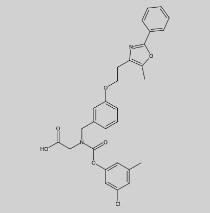 Cc1cc(Cl)cc(OC(=O)N(CC(=O)O)Cc2cccc(OCCc3nc(-c4ccccc4)oc3C)c2)c1